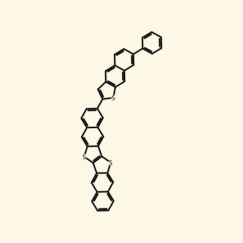 c1ccc(-c2ccc3cc4cc(-c5ccc6cc7sc8c9cc%10ccccc%10cc9sc8c7cc6c5)sc4cc3c2)cc1